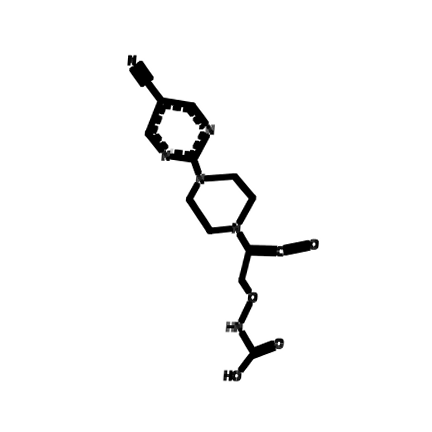 N#Cc1cnc(N2CCN(C(=C=O)CONC(=O)O)CC2)nc1